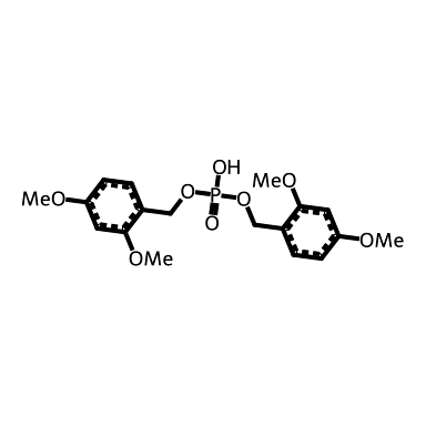 COc1ccc(COP(=O)(O)OCc2ccc(OC)cc2OC)c(OC)c1